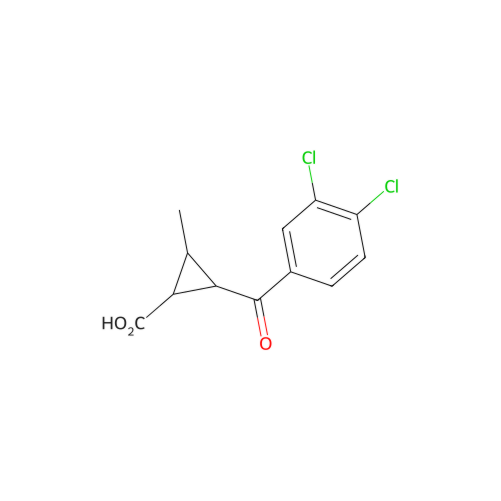 CC1C(C(=O)O)C1C(=O)c1ccc(Cl)c(Cl)c1